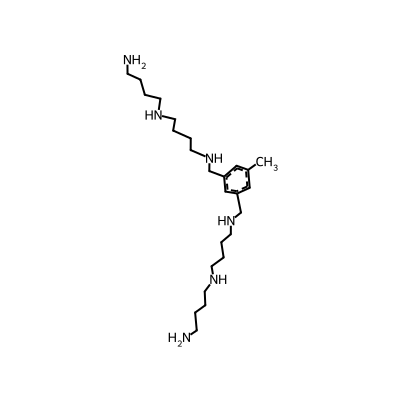 Cc1cc(CNCCCCNCCCCN)cc(CNCCCCNCCCCN)c1